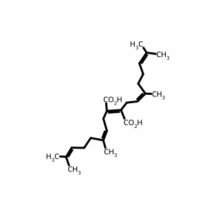 CC(C)=CCCC(C)=CCC(C(=O)O)=C(CC=C(C)CCC=C(C)C)C(=O)O